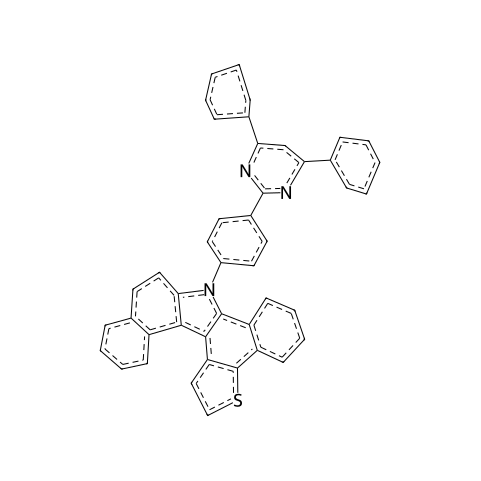 c1ccc(-c2cc(-c3ccccc3)nc(-c3ccc(-n4c5ccc6ccccc6c5c5c6ccsc6c6ccccc6c54)cc3)n2)cc1